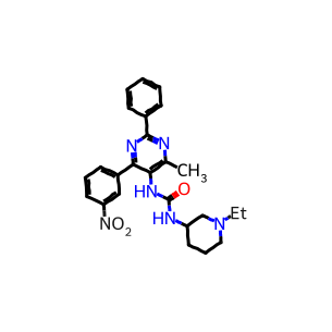 CCN1CCCC(NC(=O)Nc2c(C)nc(-c3ccccc3)nc2-c2cccc([N+](=O)[O-])c2)C1